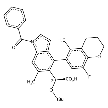 Cc1cc2c(ccn2C(=O)c2ccccc2)c(-c2cc(F)c3c(c2C)CCCO3)c1[C@H](OC(C)(C)C)C(=O)O